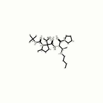 CCCCO[C@H](C)[C@H](NC(=O)C1(C(C)O)CCC(C)N1C(=O)OC(C)(C)C)C(=O)N1CCCC1